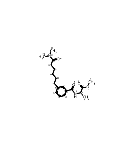 COC(=O)[C@@H](C)NC(=O)c1cccc(CCCCCC(=O)N(C)C)c1